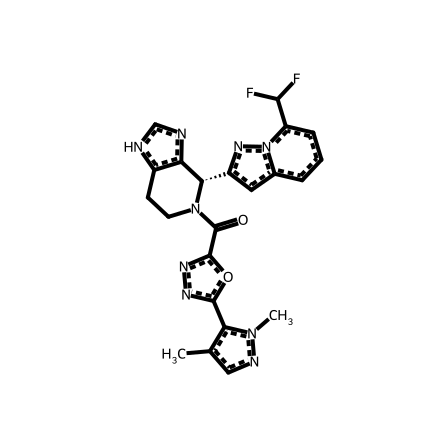 Cc1cnn(C)c1-c1nnc(C(=O)N2CCc3[nH]cnc3[C@@H]2c2cc3cccc(C(F)F)n3n2)o1